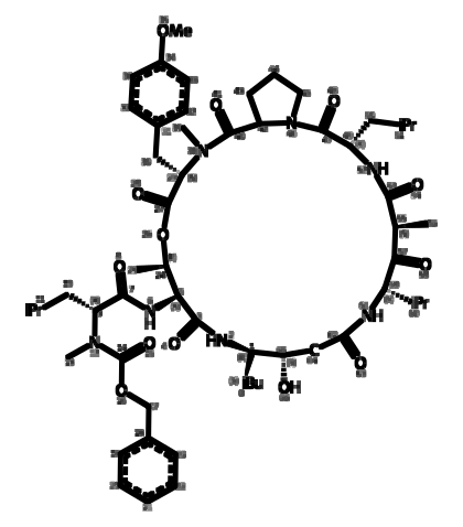 CC[C@H](C)[C@H]1NC(=O)[C@@H](NC(=O)[C@@H](CC(C)C)N(C)C(=O)OCc2ccccc2)[C@@H](C)OC(=O)[C@H](Cc2ccc(OC)cc2)N(C)C(=O)C2CCCN2C(=O)[C@H](CC(C)C)NC(=O)[C@@H](C)C(=O)[C@H](C(C)C)NC(=O)C[C@@H]1O